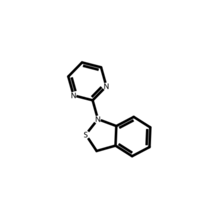 c1cnc(N2SCc3ccccc32)nc1